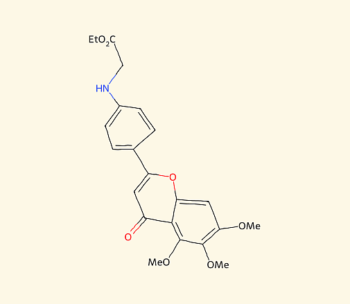 CCOC(=O)CNc1ccc(-c2cc(=O)c3c(OC)c(OC)c(OC)cc3o2)cc1